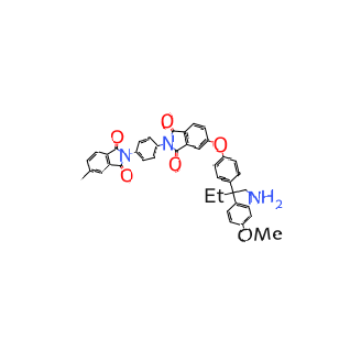 CCC(CN)(c1ccc(OC)cc1)c1ccc(Oc2ccc3c(c2)C(=O)N(c2ccc(N4C(=O)c5ccc(C)cc5C4=O)cc2)C3=O)cc1